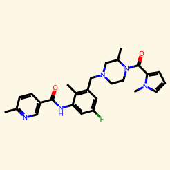 Cc1ccc(C(=O)Nc2cc(F)cc(CN3CCN(C(=O)c4cccn4C)C(C)C3)c2C)cn1